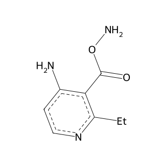 CCc1nccc(N)c1C(=O)ON